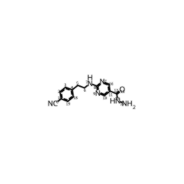 N#Cc1ccc(CCNc2ncc(C(=O)NN)cn2)cc1